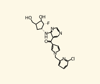 O=C(c1ccn(Cc2cccc(Cl)n2)c1)c1cncnc1N[C@@H]1CC(CO)[C@@H](O)[C@@H]1F